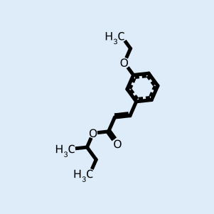 CCOc1cccc(C=CC(=O)OC(C)CC)c1